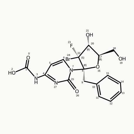 O=C(O)Nc1ccn([C@]2(Cc3ccccc3)O[C@H](CO)[C@@H](O)[C@]2(F)Br)c(=O)n1